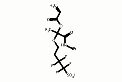 C=CC(=O)OC(OCCC(F)(F)C(F)(F)S(=O)(=O)O)(C(=O)NC(C)C)C(F)(F)F